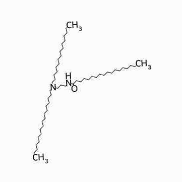 CCCCCCCCCCCCCCCCCCN(CCCCCCCCCCCCCCCC)CCCNC(=O)CCCCCCCCCCCCCCCCC